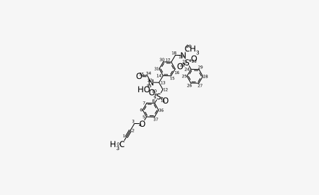 CC#CCOc1ccc(S(=O)(=O)CC(c2ccc(CN(C)S(=O)(=O)c3ccccc3)cc2)N(O)C=O)cc1